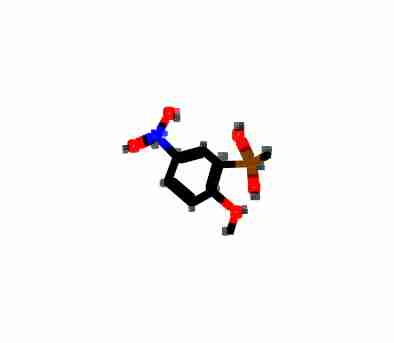 COc1ccc([N+](=O)[O-])cc1S(C)(=O)=O